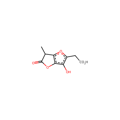 CC1C(=O)Oc2c1oc(CC(=O)O)c2O